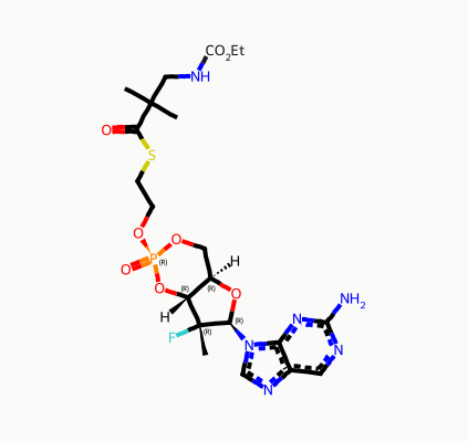 CCOC(=O)NCC(C)(C)C(=O)SCCO[P@@]1(=O)OC[C@H]2O[C@@H](n3cnc4cnc(N)nc43)[C@](C)(F)[C@@H]2O1